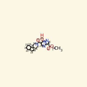 CCOC(=O)c1cnn2c(O)c(C(=O)N3CCC4(C=Cc5ccccc54)CC3)cnc12